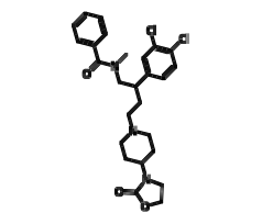 CN(CC(CCN1CCC(N2CCOC2=O)CC1)c1ccc(Cl)c(Cl)c1)C(=O)c1ccccc1